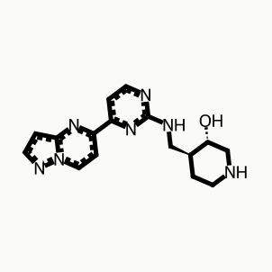 O[C@@H]1CNCC[C@H]1CNc1nccc(-c2ccn3nccc3n2)n1